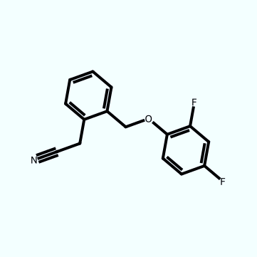 N#CCc1ccccc1COc1ccc(F)cc1F